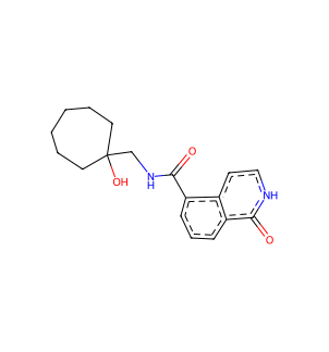 O=C(NCC1(O)CCCCCC1)c1cccc2c(=O)[nH]ccc12